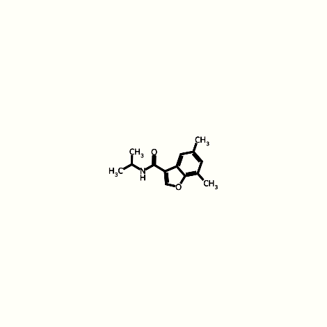 Cc1cc(C)c2occ(C(=O)NC(C)C)c2c1